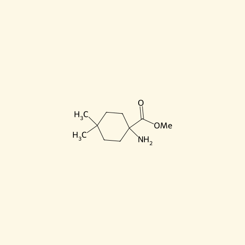 COC(=O)C1(N)CCC(C)(C)CC1